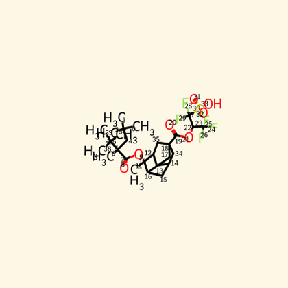 CC(C)(C)CC(C)(C(=O)OC1(C)C2CC3CC1CC(C(=O)OC(C(F)(F)F)C(F)(F)S(=O)(=O)O)(C3)C2)C(C)(C)C